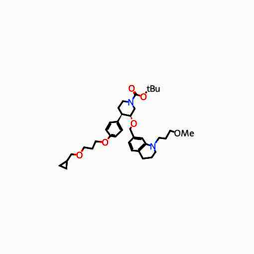 COCCCN1CCCc2ccc(CO[C@H]3CN(C(=O)OC(C)(C)C)CC[C@@H]3c3ccc(OCCCOCC4CC4)cc3)cc21